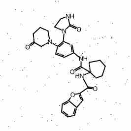 O=C1CCCN(c2ccc(NC(=O)C3(NC(=O)c4cc5ccccc5o4)CCCCC3)cc2N2CCNC2=O)C1